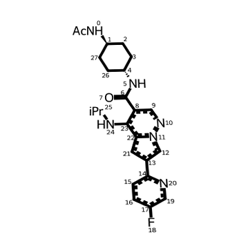 CC(=O)N[C@H]1CC[C@H](NC(=O)c2cnn3cc(-c4ccc(F)cn4)cc3c2NC(C)C)CC1